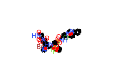 CC1(C)CCC(c2ccc(Cl)cc2)=C(CN2CCN(c3ccc(C(=O)NS(=O)(=O)c4ccc(N[C@H](CCN5CC6CC(C5)N6Cc5ccc6c(c5Br)C(=O)N(C5CCC(=O)NC5=O)C6=O)CSc5ccccc5)c(S(=O)(=O)C(F)(F)F)c4)cc3)CC2)C1